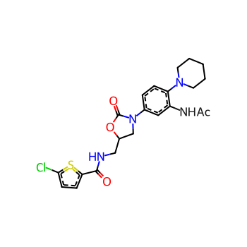 CC(=O)Nc1cc(N2CC(CNC(=O)c3ccc(Cl)s3)OC2=O)ccc1N1CCCCC1